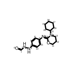 O=CNNc1ccc(N=C2OCCCN2C2CCCCC2)cc1